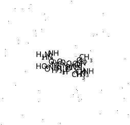 CCC(C)[C@H](NC(=O)c1cccc(NC(=O)[C@@H]2CCCN2C(=O)[C@H](CCCNC(=N)N)NC(=O)[C@@H](N)CC(=O)O)c1OC)C(=O)N[C@@H](Cc1cnc[nH]1)C(=O)N1CCC[C@H]1C(C)=O